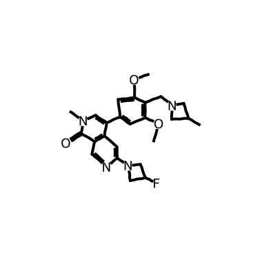 COc1cc(-c2cn(C)c(=O)c3cnc(N4CC(F)C4)cc23)cc(OC)c1CN1CC(C)C1